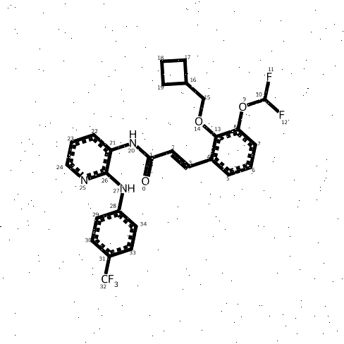 O=C(/C=C/c1cccc(OC(F)F)c1OCC1CCC1)Nc1cccnc1Nc1ccc(C(F)(F)F)cc1